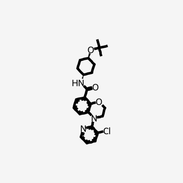 CC(C)(C)O[C@H]1CC[C@H](NC(=O)c2cccc3c2OCCN3c2ncccc2Cl)CC1